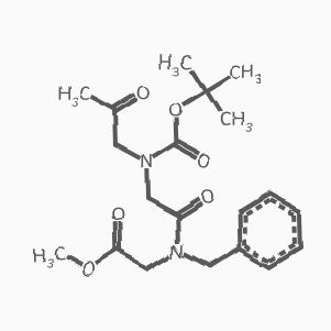 COC(=O)CN(Cc1ccccc1)C(=O)CN(CC(C)=O)C(=O)OC(C)(C)C